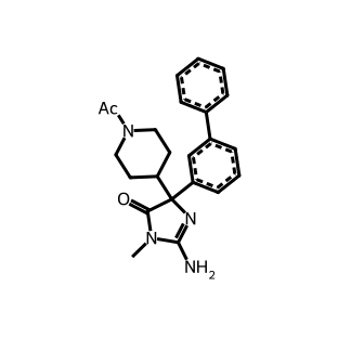 CC(=O)N1CCC(C2(c3cccc(-c4ccccc4)c3)N=C(N)N(C)C2=O)CC1